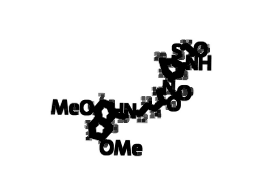 COc1ccc2c(OC)ccc(CNCCCC3CN(c4ccc5c(c4)NC(=O)CS5)C(=O)O3)c2c1